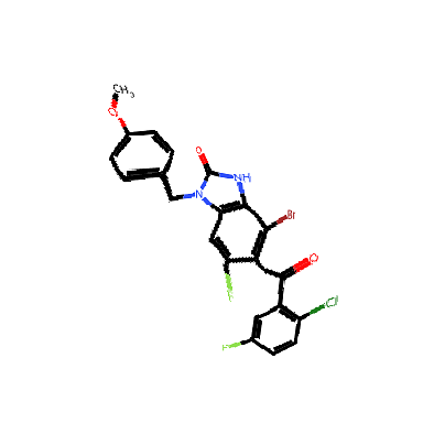 COc1ccc(Cn2c(=O)[nH]c3c(Br)c(C(=O)c4cc(F)ccc4Cl)c(F)cc32)cc1